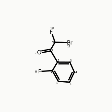 O=C(c1ccccc1F)C(F)Br